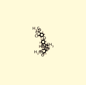 COC(=O)c1ccc(Oc2ccc(Cl)c([C@H](C)[C@](O)(c3ccc(=O)n(C)c3)C(F)(F)F)c2)cc1Cl